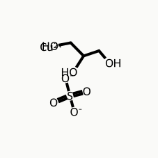 O=S(=O)([O-])[O-].OCC(O)CO.[Cu+2]